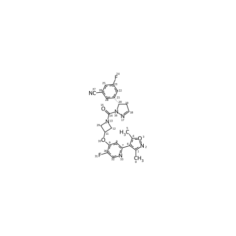 Cc1noc(C)c1-c1cc(OC2CN(C(=O)N3N=CC[C@H]3c3cc(F)cc(C#N)c3)C2)c(F)cn1